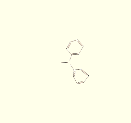 CC[CH]P(c1ccccc1)c1ccccc1